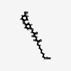 CCCCCCCCCCCCCCCCCC(=O)NCNC(=O)COc1ccc(Oc2ccc(O)cc2)cc1